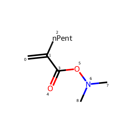 C=C(CCCCC)C(=O)ON(C)C